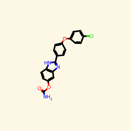 NC(=O)Oc1ccc2[nH]c(-c3ccc(Oc4ccc(Cl)cc4)cc3)nc2c1